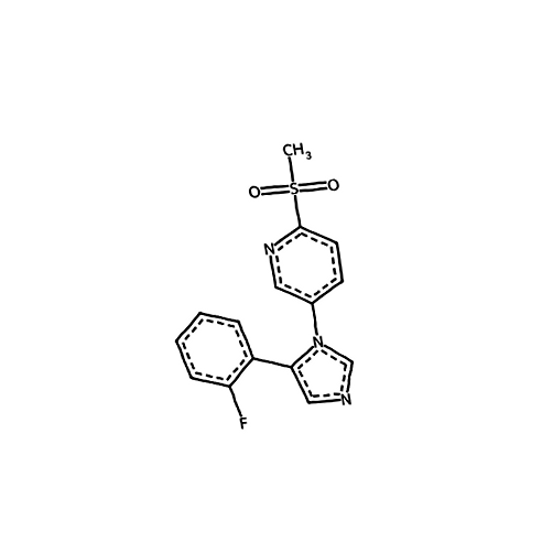 CS(=O)(=O)c1ccc(-n2cncc2-c2ccccc2F)cn1